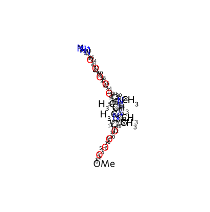 COCCOCCOCCOCCOc1ccc2c(c1)C(C)(C)C(/C=C/C=C1/N(C)c3ccc(OCCOCCOCCOCCOCCN=[N+]=[N-])cc3C1(C)C)=[N+]2C